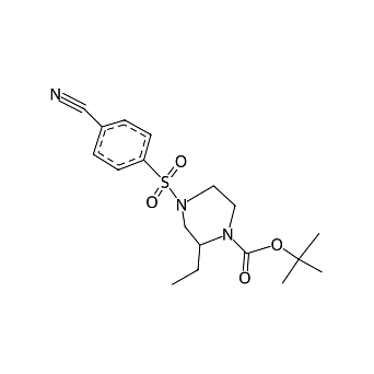 CCC1CN(S(=O)(=O)c2ccc(C#N)cc2)CCN1C(=O)OC(C)(C)C